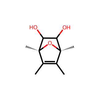 CC1=C(C)[C@@]2(C)O[C@]1(C)C(O)C2O